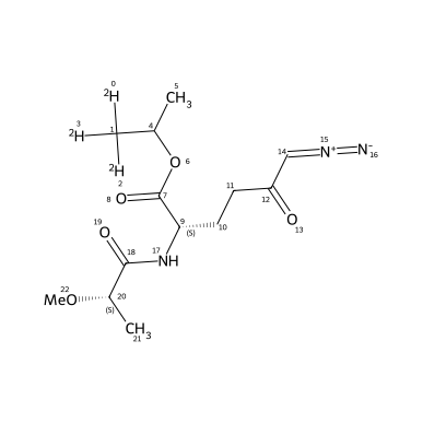 [2H]C([2H])([2H])C(C)OC(=O)[C@H](CCC(=O)C=[N+]=[N-])NC(=O)[C@H](C)OC